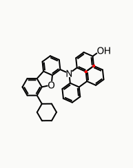 Oc1ccc(N(c2ccccc2-c2ccccc2)c2cccc3c2oc2c(C4CCCCC4)cccc23)cc1